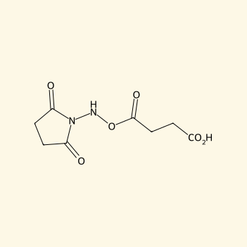 O=C(O)CCC(=O)ONN1C(=O)CCC1=O